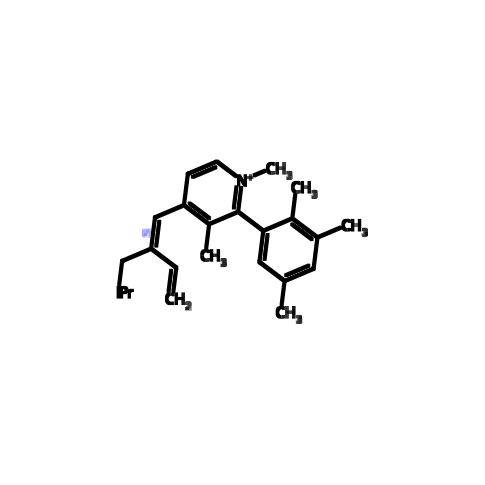 C=C/C(=C\c1cc[n+](C)c(-c2cc(C)cc(C)c2C)c1C)CC(C)C